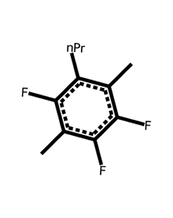 CCCc1c(C)c(F)c(F)c(C)c1F